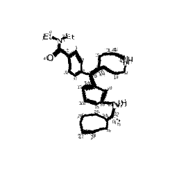 CCN(CC)C(=O)c1ccc(C(=C2CCNCC2)c2cccc(N[C@H](C)C3CCCCC3)c2)cc1